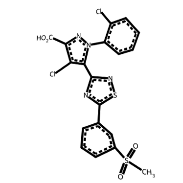 CS(=O)(=O)c1cccc(-c2nc(-c3c(Cl)c(C(=O)O)nn3-c3ccccc3Cl)ns2)c1